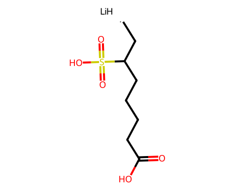 [CH2]CC(CCCCC(=O)O)S(=O)(=O)O.[LiH]